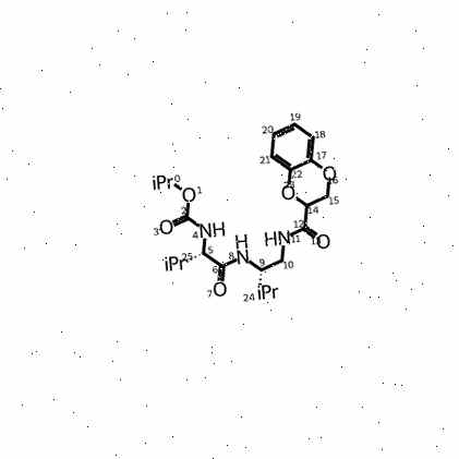 CC(C)OC(=O)N[C@H](C(=O)N[C@H](CNC(=O)C1COc2ccccc2O1)C(C)C)C(C)C